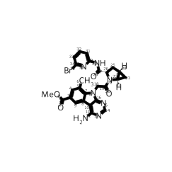 COC(=O)c1cc(C)c2c(c1)c1c(N)ncnc1n2CC(=O)N1[C@@H]2C[C@@H]2C[C@H]1C(=O)Nc1cccc(Br)n1